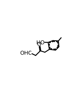 Cc1ccc(CC(=O)CC=O)c(O)c1